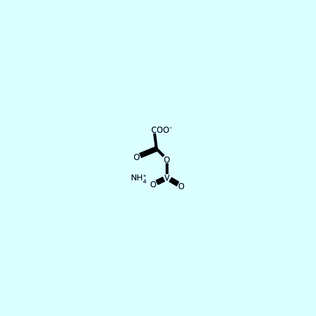 O=C([O-])C(=O)[O][V](=[O])=[O].[NH4+]